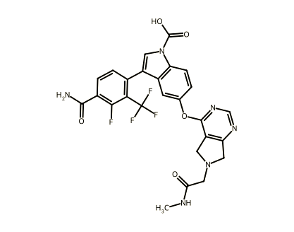 CNC(=O)CN1Cc2ncnc(Oc3ccc4c(c3)c(-c3ccc(C(N)=O)c(F)c3C(F)(F)F)cn4C(=O)O)c2C1